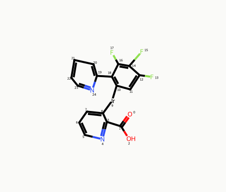 O=C(O)c1nccc[c]1[Ir][c]1cc(F)c(F)c(F)c1-c1ccccn1